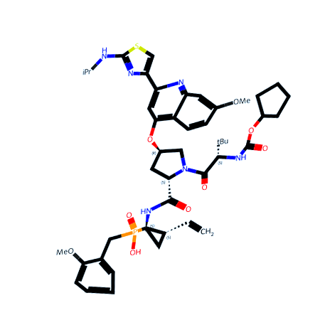 C=C[C@@H]1C[C@]1(NC(=O)[C@@H]1C[C@@H](Oc2cc(-c3csc(NC(C)C)n3)nc3cc(OC)ccc23)CN1C(=O)[C@@H](NC(=O)OC1CCCC1)C(C)(C)C)P(=O)(O)Cc1ccccc1OC